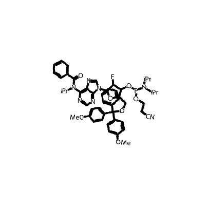 COc1ccc(C(OCC2OC(n3cnc4c(N(C(=O)c5ccccc5)C(C)C)ncnc43)C(F)C2OP(OCCC#N)N(C(C)C)C(C)C)(c2ccccc2)c2ccc(OC)cc2)cc1